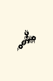 Cc1[nH]c(-c2ccccc2)c(NC(=O)c2ccncc2)c1CN1CCN(c2ccc(F)cc2)CC1